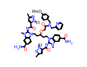 CCn1nc(C)cc1C(=O)N=c1n(C)c2cc(C(N)=O)ccc2n1CCC(CCn1c(=NC(=O)c2cc(C)nn2CC)n(C)c2cc(C(N)=O)ccc21)OCC(=O)N(Cc1ccc(OC)cc1)Cc1ccccn1